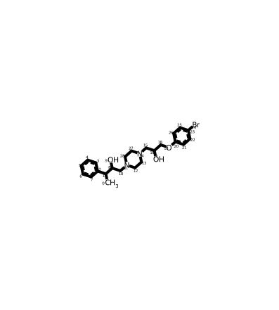 CC(c1ccccc1)C(O)CN1CCN(CC(O)COc2ccc(Br)cc2)CC1